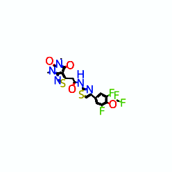 Cn1c(=O)c2c(CC(=O)Nc3nc(-c4cc(F)c(OC(F)F)c(F)c4)cs3)snc2n(C)c1=O